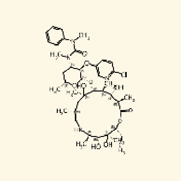 CC[C@H]1OC(=O)[C@H](C)[C@@H](O)[C@H](C)[C@@H](O[C@@H]2O[C@H](C)C[C@H](N(C)C(=O)N(C)c3ccccc3)[C@H]2Oc2ccc(Cl)nc2)[C@](C)(O)C[C@@H](C)CN[C@H](C)[C@@H](O)[C@]1(C)O